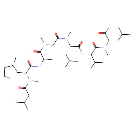 CC(C)CC(=O)N(C)[C@H](C(=O)N[C@H](C)C(=O)N(C)CC(=O)N(C)[C@@H](CC(C)C)C(=O)N[C@H](C(=O)N(C)[C@@H](CC(C)C)C(N)=O)C(C)C)[C@@H]1OCC[C@H]1C